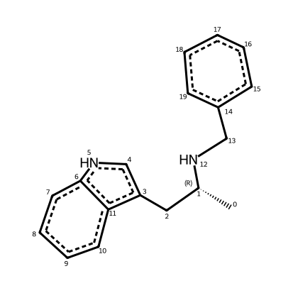 C[C@H](Cc1c[nH]c2ccccc12)NCc1ccccc1